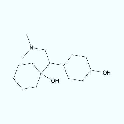 CN(C)CC(C1CCC(O)CC1)C1(O)CCCCC1